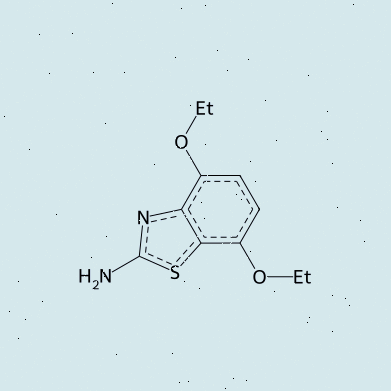 CCOc1ccc(OCC)c2sc(N)nc12